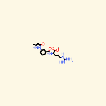 COC(=O)C(CCCNC(=N)N)NC(=O)c1cccc(-n2[nH]c(C)cc2=O)c1